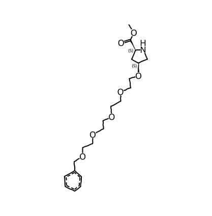 COC(=O)[C@@H]1C[C@H](OCCOCCOCCOCCOCc2ccccc2)CN1